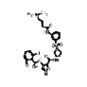 CN(C)C/C=C/C(=O)Nc1cccc(S(=O)(=O)N2CC[C@H](NC(=O)c3n[nH]cc3NC(O)c3c(Cl)cccc3Cl)C2)c1